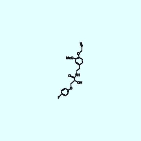 C#CCOc1ccc(CCNC(=O)C(O)COc2ccc(F)cc2)cc1OC